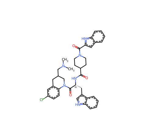 CN(C)CC1Cc2cc(Cl)ccc2N(C(=O)[C@@H](Cc2c[nH]c3ccccc23)NC(=O)C2CCN(C(=O)c3cc4ccccc4[nH]3)CC2)C1